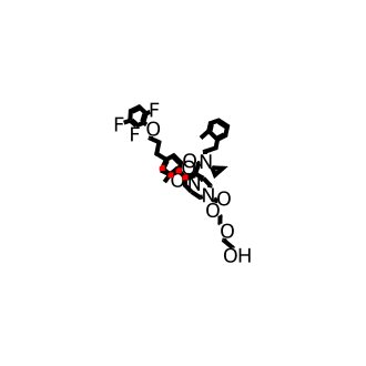 Cc1ccccc1CCN(C(=O)C1=C(c2ccc(CCCOc3c(F)ccc(F)c3F)cc2)CC2CN(C(=O)OCCOCCO)CC1N2C(=O)OC(C)(C)C)C1CC1